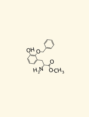 COC(=O)C(N)Cc1cccc(O)c1OCc1ccccc1